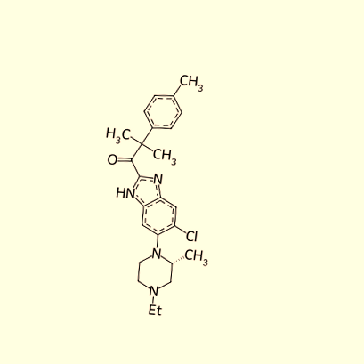 CCN1CCN(c2cc3[nH]c(C(=O)C(C)(C)c4ccc(C)cc4)nc3cc2Cl)[C@H](C)C1